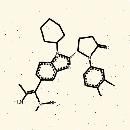 C/C(N)=C(\c1ccc2c(c1)nc([C@@H]1CCC(=O)N1c1ccc(F)c(F)c1)n2C1CCCCC1)N(C)N